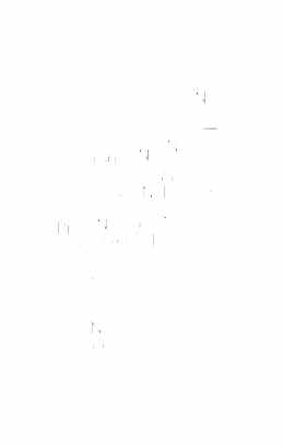 CCC(C)C(C(=O)N[C@@H](Cc1ccccc1)[C@H](O)CN(CC(C)C)S(=O)(=O)c1ccc(/C=N/O)cc1)N1CCN(Cc2cccnc2)C1=O